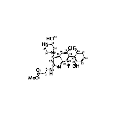 COC(=O)CCNc1nc(N2CCNCC2)c2cc(Cl)c(-c3c(O)cccc3F)c(F)c2n1.Cl